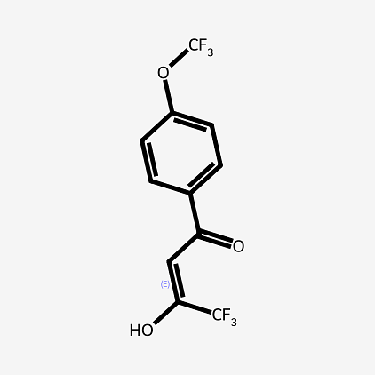 O=C(/C=C(/O)C(F)(F)F)c1ccc(OC(F)(F)F)cc1